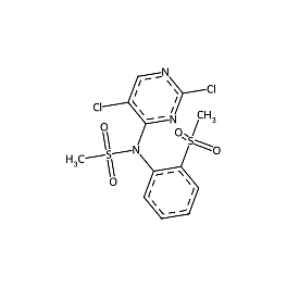 CS(=O)(=O)c1ccccc1N(c1nc(Cl)ncc1Cl)S(C)(=O)=O